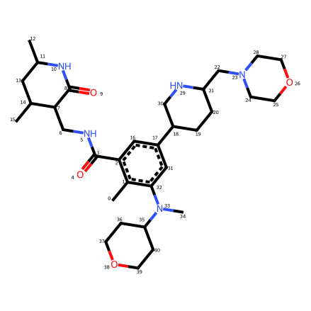 Cc1c(C(=O)NCC2C(=O)NC(C)CC2C)cc(C2CCC(CN3CCOCC3)NC2)cc1N(C)C1CCOCC1